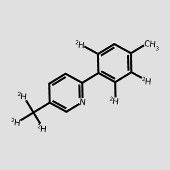 [2H]c1cc(C)c([2H])c([2H])c1-c1ccc(C([2H])([2H])[2H])cn1